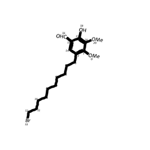 COc1c(CCCCCCCCCCBr)cc(C=O)c(O)c1OC